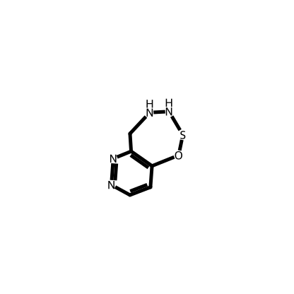 c1cc2c(nn1)CNNSO2